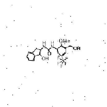 COc1c(CO)cc(S(F)(F)(F)(F)F)cc1NC(=O)NC1Cc2ccccc2C1O